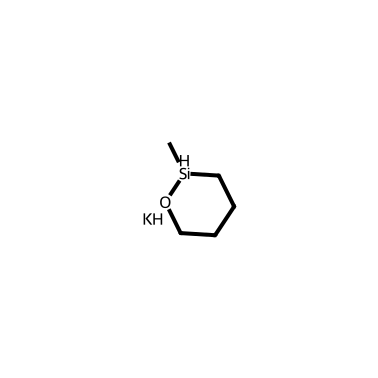 C[SiH]1CCCCO1.[KH]